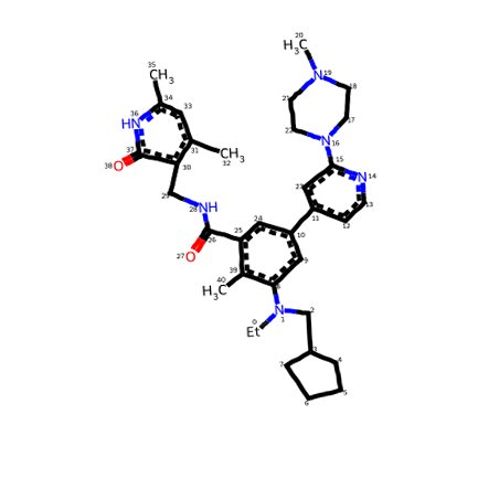 CCN(CC1CCCC1)c1cc(-c2ccnc(N3CCN(C)CC3)c2)cc(C(=O)NCc2c(C)cc(C)[nH]c2=O)c1C